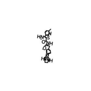 CNc1c(C(=O)N[C@H](COC)Cc2ccc(N3C[C@H]4CC[C@@H](C3)N4)cc2)sc2nc(C)ccc12